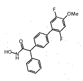 COc1cc(F)c(-c2ccc(C(C(=O)NO)c3ccccc3)cc2)cc1F